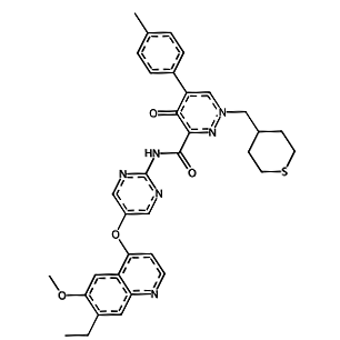 CCc1cc2nccc(Oc3cnc(NC(=O)c4nn(CC5CCSCC5)cc(-c5ccc(C)cc5)c4=O)nc3)c2cc1OC